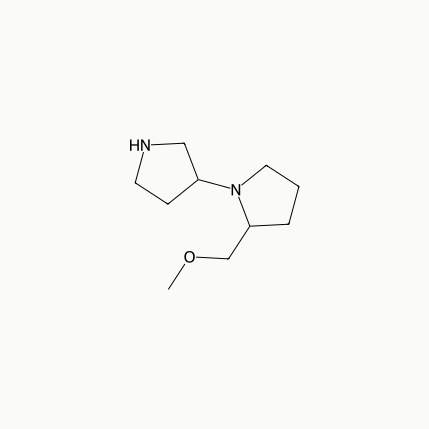 COCC1CCCN1C1CCNC1